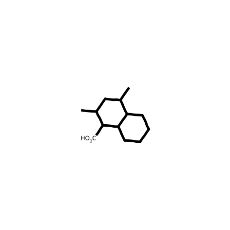 CC1CC(C)C(C(=O)O)C2CCCCC12